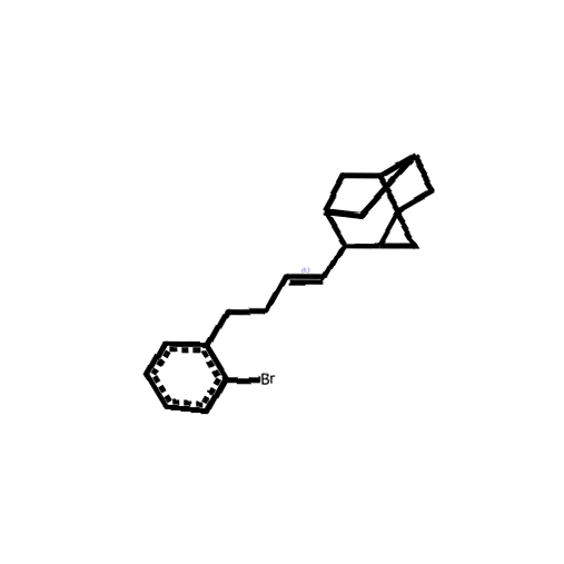 Brc1ccccc1CC/C=C/C1C2CC3CC4(CC14)C3C2